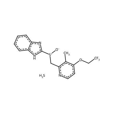 Cc1c(OCC(F)(F)F)ccnc1C[S+]([O-])c1nc2ccccc2[nH]1.S